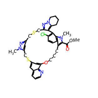 COC(=O)c1c2c3ccc(Cl)c(c3n1C)-c1c(nn3c1CCCC3)CSCc1cc(n(C)n1)CSc1cc(c3ncccc3c1)OCCC2